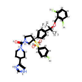 O=C(N1CCC(c2c[nH]cn2)CC1)N1CC[C@](c2ccc(C(OCc3c(F)cccc3F)(C(F)(F)F)C(F)(F)F)cc2)(S(=O)(=O)c2ccc(F)cc2)C1